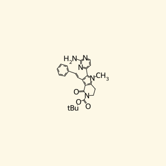 Cn1c2c(c(C=Cc3ccccc3)c1-c1ccnc(N)n1)C(=O)N(C(=O)OC(C)(C)C)CC2